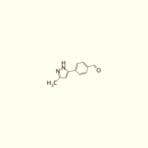 Cc1cc(-c2ccc(C=O)cc2)[nH]n1